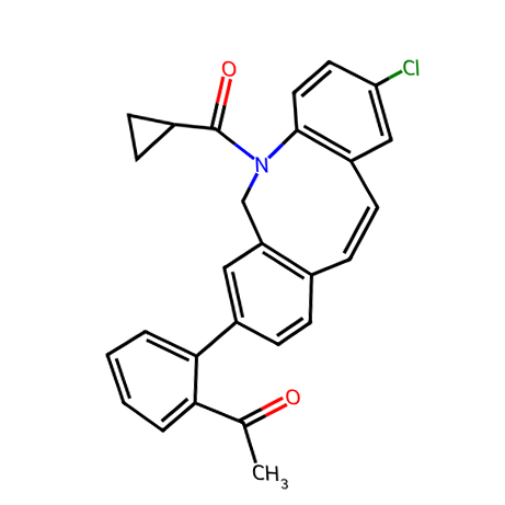 CC(=O)c1ccccc1-c1ccc2c(c1)CN(C(=O)C1CC1)c1ccc(Cl)cc1C=C2